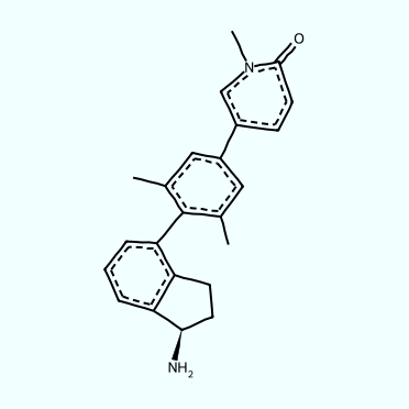 Cc1cc(-c2ccc(=O)n(C)c2)cc(C)c1-c1cccc2c1CC[C@H]2N